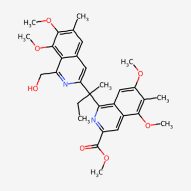 CCC(C)(c1cc2cc(C)c(OC)c(OC)c2c(CO)n1)c1nc(C(=O)OC)cc2c(OC)c(C)c(OC)cc12